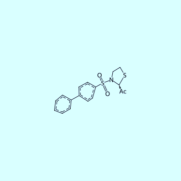 CC(=O)[C@@H]1SCCN1S(=O)(=O)c1ccc(-c2ccccc2)cc1